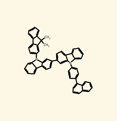 CC1(C)c2ccccc2-c2ccc(-n3c4ccccc4c4ccc(-c5ccc6c7ccccc7n(-c7ccc(-c8cccc9ccccc89)cc7)c6c5)cc43)cc21